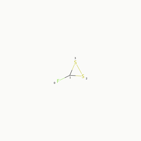 FC1SS1